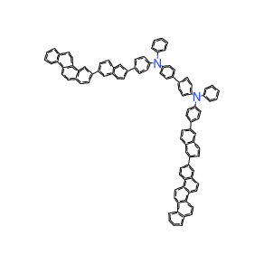 c1ccc(N(c2ccc(-c3ccc(N(c4ccccc4)c4ccc(-c5ccc6cc(-c7ccc8ccc9c%10ccccc%10ccc9c8c7)ccc6c5)cc4)cc3)cc2)c2ccc(-c3ccc4cc(-c5ccc6c(ccc7c6ccc6c8ccccc8ccc67)c5)ccc4c3)cc2)cc1